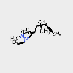 CC#CCC(C)(C)C/C=C(\C)CN(/C=C\CC)N(C)C